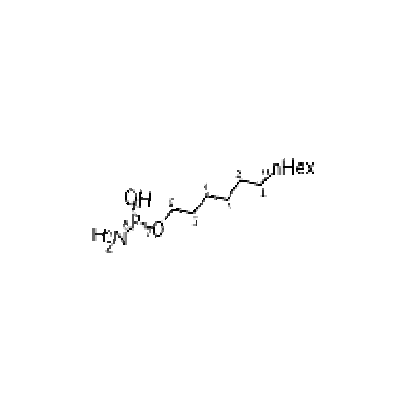 CCCCCCCCCCCCOP(N)O